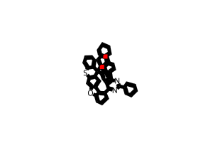 c1ccc(-c2ccc(-c3cc(-c4cccc5oc6cc7c(cc6c45)C4(c5ccccc5S7)c5ccccc5-c5ccccc54)nc(-c4ccccc4)n3)cc2)cc1